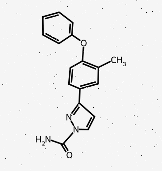 Cc1cc(-c2ccn(C(N)=O)n2)ccc1Oc1ccccc1